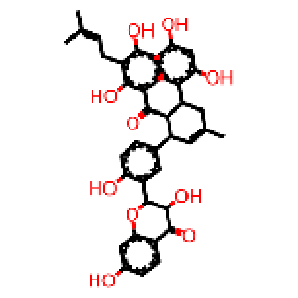 CC(C)=CCc1c(O)ccc(C(=O)C2C(c3ccc(O)c(C4Oc5cc(O)ccc5C(=O)C4O)c3)C=C(C)CC2c2ccc(O)cc2O)c1O